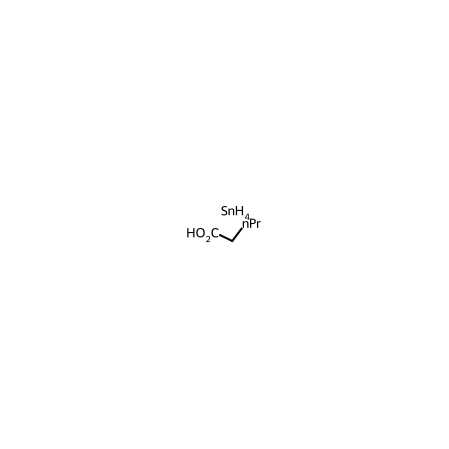 CCCCC(=O)O.[SnH4]